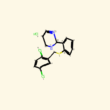 Cl.Clc1ccc(Cl)c(CSc2ccccc2C2N=CCCN2)c1